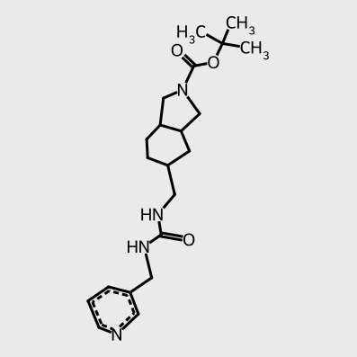 CC(C)(C)OC(=O)N1CC2CCC(CNC(=O)NCc3cccnc3)CC2C1